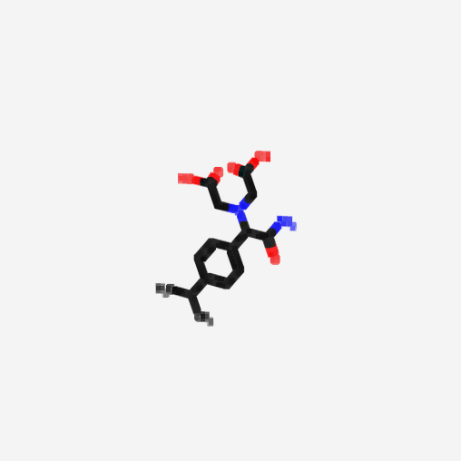 CC(C)c1ccc(C(C(N)=O)N(CC(=O)O)CC(=O)O)cc1